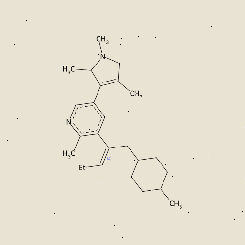 CC/C=C(/CC1CCC(C)CC1)c1cc(C2=C(C)CN(C)C2C)cnc1C